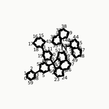 c1ccc(-c2ccc(C3(c4ccc(-c5ccccc5)cc4)c4cccc5ccc6cc(N(c7cccc8ccccc78)c7cccc8ccccc78)cc3c6c45)cc2)cc1